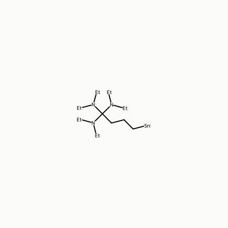 CCN(CC)C(CC[CH2][Sn])(N(CC)CC)N(CC)CC